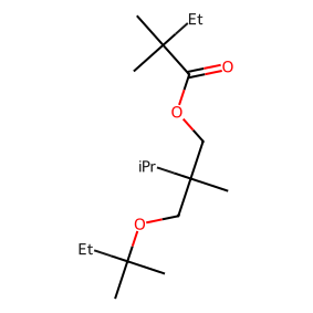 CCC(C)(C)OCC(C)(COC(=O)C(C)(C)CC)C(C)C